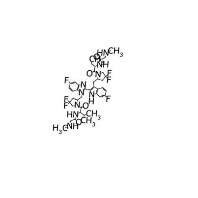 CCC(NC(=O)CNC)C(=O)N1CC(F)(F)CC1Cc1c(-c2nc3cc(F)ccc3n2CC2CC(F)(F)CN2C(=O)C(NC(=O)CNC)C(C)C)[nH]c2cc(F)ccc12